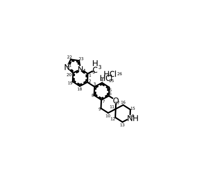 Cc1c(-c2ccc3c(c2)CCC2(CCNCC2)O3)ccc2nccn12.Cl.Cl